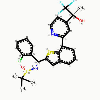 CC(C)(C)[S@+]([O-])N[C@@H](c1cc2cccc(-c3cc([C@](C)(O)C(F)(F)F)ccn3)c2s1)c1ccccc1Cl